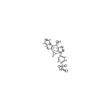 CCNS(=O)(=O)c1ccc(-n2cc(C(O)c3c(C4CC4)sc4cncn34)nn2)cc1